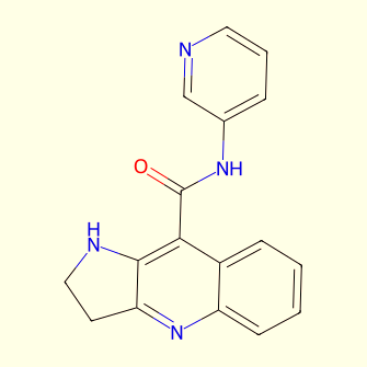 O=C(Nc1cccnc1)c1c2c(nc3ccccc13)CCN2